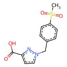 CS(=O)(=O)c1ccc(Cn2ccc(C(=O)O)n2)cc1